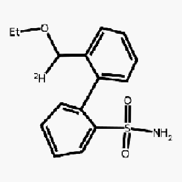 [2H]C(OCC)c1ccccc1-c1ccccc1S(N)(=O)=O